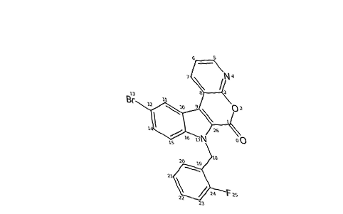 O=c1oc2ncccc2c2c3cc(Br)ccc3n(Cc3ccccc3F)c12